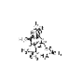 CCC(C)(CC)O[SiH2]CC(CCCN(C)C)(CCCN(C)C)CCCN(C)C